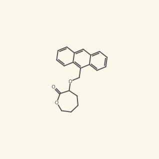 O=C1OCCCCC1OCc1c2ccccc2cc2ccccc12